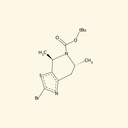 C[C@@H]1Cc2nc(Br)sc2[C@@H](C)N1C(=O)OC(C)(C)C